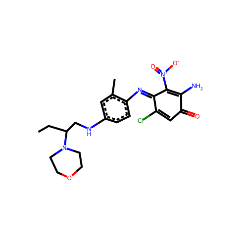 CCC(CNc1ccc(N=C2C(Cl)=CC(=O)C(N)=C2[N+](=O)[O-])c(C)c1)N1CCOCC1